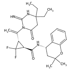 C=C([C@@H]1[C@@H](C(=O)N[C@H]2CC(C)(C)Oc3ccccc32)C1(F)F)N1C(=N)NC(CC)(CC)CC1=O